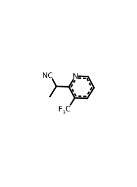 CC(C#N)c1ncccc1C(F)(F)F